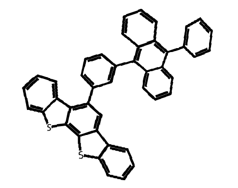 c1ccc(-c2c3ccccc3c(-c3cccc(-c4cc5c6ccccc6sc5c5sc6ccccc6c45)c3)c3ccccc23)cc1